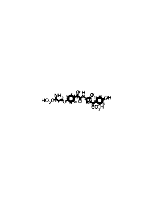 N[C@H](CCOc1ccc(C(=O)C(=O)N[C@H]2CN([C@@H](C(=O)O)c3ccc(O)cc3)C2=O)cc1)C(=O)O